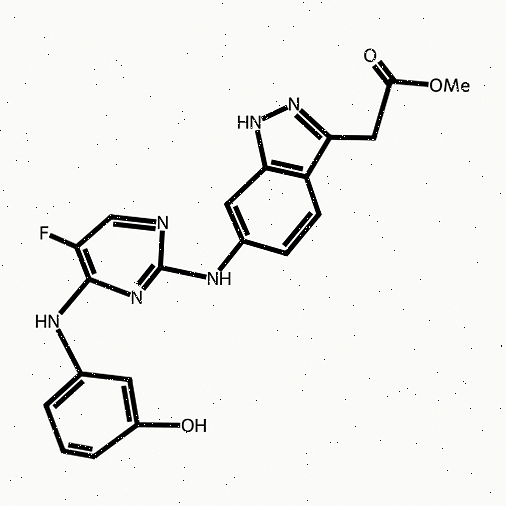 COC(=O)Cc1n[nH]c2cc(Nc3ncc(F)c(Nc4cccc(O)c4)n3)ccc12